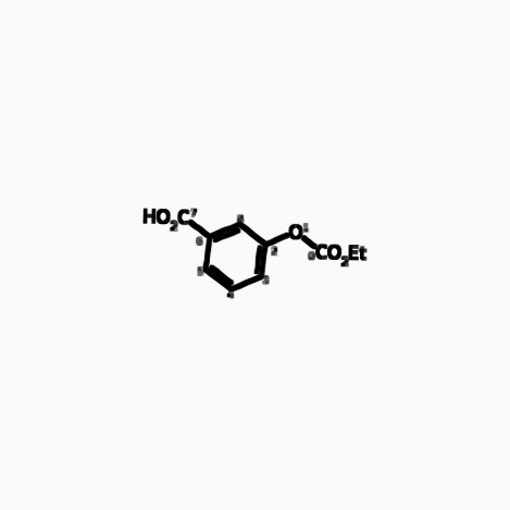 CCOC(=O)Oc1cccc(C(=O)O)c1